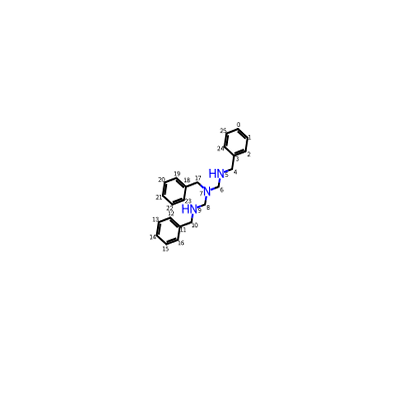 c1ccc(CNCN(CNCc2ccccc2)Cc2ccccc2)cc1